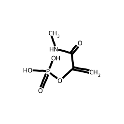 C=C(OP(=O)(O)O)C(=O)NC